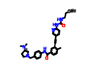 COCCNC(=O)Nc1ccc(C#Cc2cc(C(=O)Nc3ccc(CN4CC[C@H](N(C)C)C4)cc3)ccc2C)cn1